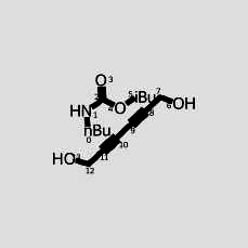 CCCCNC(=O)OC(C)CC.OCC#CC#CCO